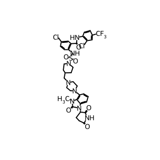 Cn1c(=O)n(C2CCC(=O)NC2=O)c2cccc(N3CCN(CC4CCN(S(=O)(=O)Nc5ccc(Cl)cc5C(=O)Nc5ccc(C(F)(F)F)cc5Cl)CC4)CC3)c21